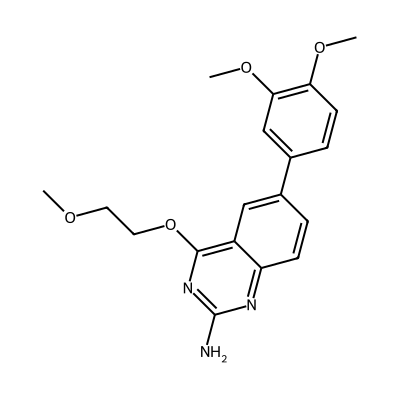 COCCOc1nc(N)nc2ccc(-c3ccc(OC)c(OC)c3)cc12